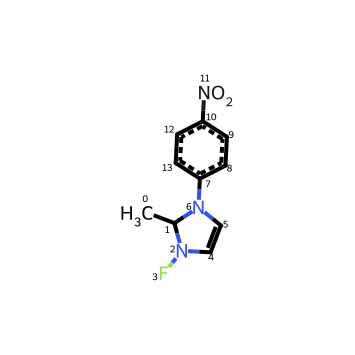 CC1N(F)C=CN1c1ccc([N+](=O)[O-])cc1